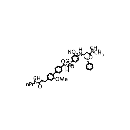 CCCN(C)C(=O)CCc1ccc(-c2ccc(C(=O)NS(=O)(=O)c3ccc(N[C@@H](CSc4ccccc4)CC(=O)N(C)C)c([N+](=O)[O-])c3)cc2)c(OC)c1